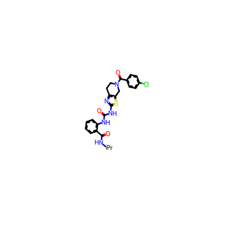 CC(C)NC(=O)c1ccccc1NC(=O)Nc1nc2c(s1)CN(C(=O)c1ccc(Cl)cc1)CC2